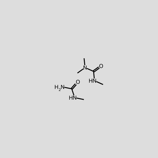 CNC(=O)N(C)C.CNC(N)=O